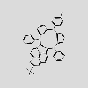 Cc1ccc(N2c3cccc(c3)N(c3ccccc3)c3cc(c4ccc5cc(C(C)(C)C)cc6ccc3c4c65)N(c3ccccc3)c3cccc2c3)cc1